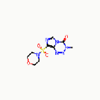 Cn1nnc2c(S(=O)(=O)N3CCOCC3)ncn2c1=O